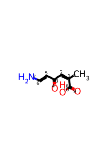 CC(=CC(=O)C=CN)C(=O)O